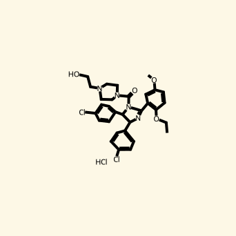 CCOc1ccc(OC)cc1C1=NC(c2ccc(Cl)cc2)C(c2ccc(Cl)cc2)N1C(=O)N1CCN(CCO)CC1.Cl